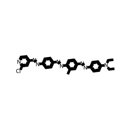 CCN(CC)c1ccc(N=Nc2ccc(N=Nc3ccc(N=Nc4ccnc(Cl)c4)cc3)c(C)c2)cc1